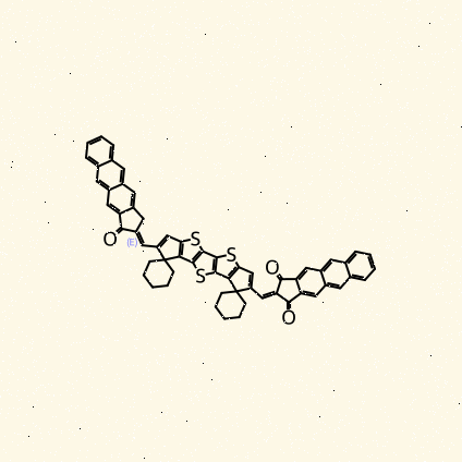 O=C1/C(=C/C2=Cc3sc4c(sc5c6c(sc54)C=C(C=C4C(=O)c5cc7cc8ccccc8cc7cc5C4=O)C64CCCCC4)c3C23CCCCC3)Cc2cc3cc4ccccc4cc3cc21